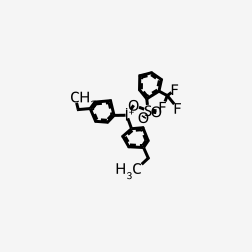 CCc1ccc([I+](OS(=O)(=O)c2ccccc2C(F)(F)F)c2ccc(CC)cc2)cc1